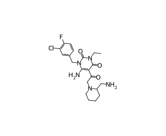 CCn1c(=O)c(C(=O)CN2CCCCC2CN)c(N)n(Cc2ccc(F)c(Cl)c2)c1=O